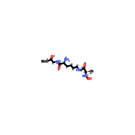 COC(=O)CNC(=O)[C@@H](N)CCCCNC(=O)[C@@H](NO)C(C)C